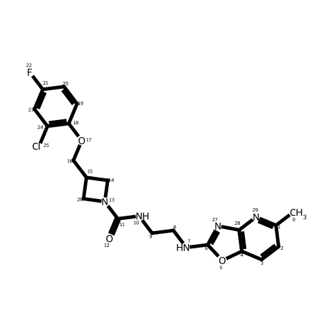 Cc1ccc2oc(NCCNC(=O)N3CC(COc4ccc(F)cc4Cl)C3)nc2n1